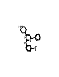 CN(C)c1cccc(Nc2nc(-c3ccccc3)cc(C3CCNCC3)n2)c1